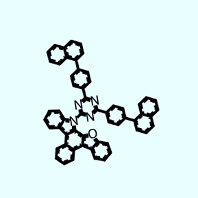 c1ccc2c(-c3ccc(-c4nc(-c5ccc(-c6cccc7ccccc67)cc5)nc(-n5c6ccccc6c6c7ccccc7c7c8ccccc8oc7c65)n4)cc3)cccc2c1